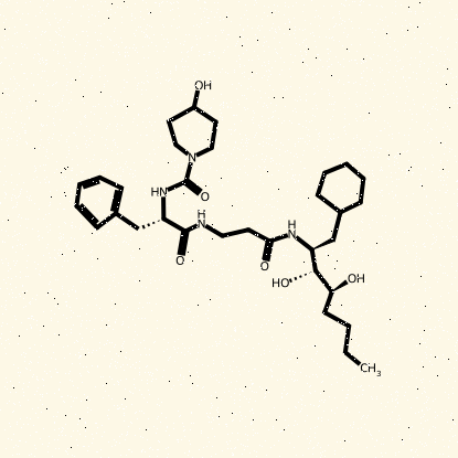 CCCC[C@H](O)[C@H](O)[C@H](CC1CCCCC1)NC(=O)CCNC(=O)[C@H](Cc1ccccc1)NC(=O)N1CCC(O)CC1